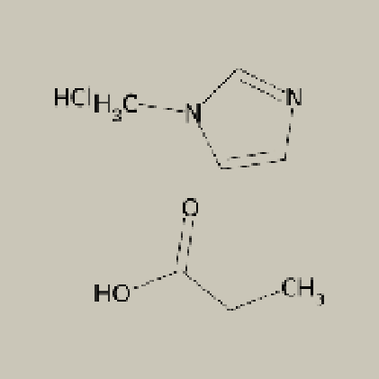 CCC(=O)O.Cl.Cn1ccnc1